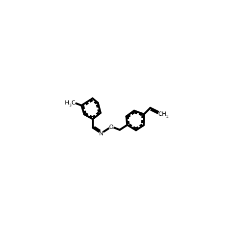 C=Cc1ccc(CO/N=[C]\c2cccc(C)c2)cc1